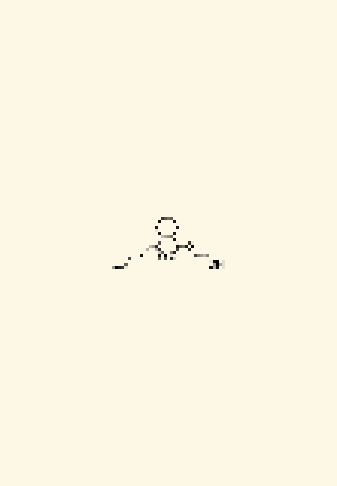 CCCCOC(=O)C1CCCCC1C(=O)OCCO